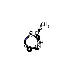 CCSCCOc1ccc2cc1CN(C)C/C=C/CCOc1cccc(c1)-c1ccnc(n1)N2